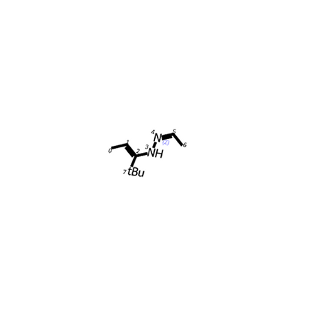 CC=C(N/N=C\C)C(C)(C)C